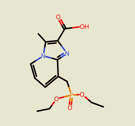 CCOP(=O)(Cc1cccn2c(C)c(C(=O)O)nc12)OCC